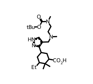 CCC1CC(c2n[nH]cc2CN(C)CCN(C)C(=O)OC(C)(C)C)CC(C(=O)O)C1(C)C